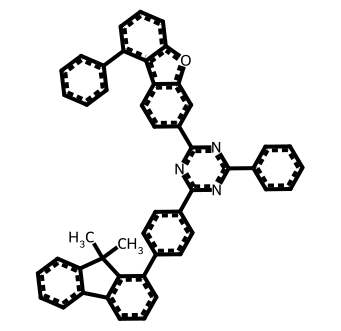 CC1(C)c2ccccc2-c2cccc(-c3ccc(-c4nc(-c5ccccc5)nc(-c5ccc6c(c5)oc5cccc(-c7ccccc7)c56)n4)cc3)c21